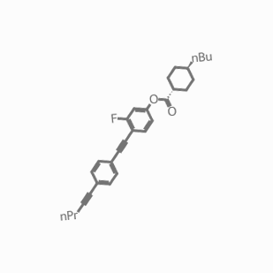 CCCC#Cc1ccc(C#Cc2ccc(OC(=O)[C@H]3CC[C@H](CCCC)CC3)cc2F)cc1